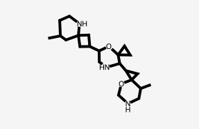 CC1CCNC2(C1)CC(C1CNC(C3CC34OCNCC4C)C3(CC3)O1)C2